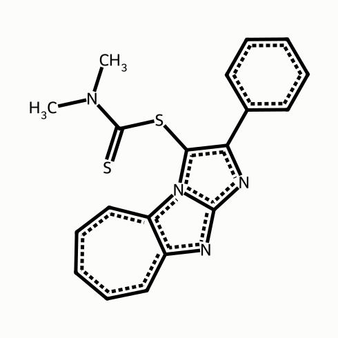 CN(C)C(=S)Sc1c(-c2ccccc2)nc2nc3cccccc3n12